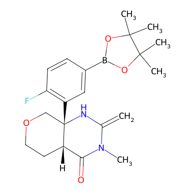 C=C1N[C@@]2(c3cc(B4OC(C)(C)C(C)(C)O4)ccc3F)COCC[C@H]2C(=O)N1C